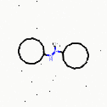 CN(NC1CCCCCCCCCC1)C1CCCCCCCCCC1